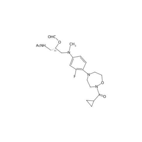 CC(=O)NC[C@@H](CN(C)c1ccc(N2CCON(C(=O)C3CC3)CC2)c(F)c1)OC=O